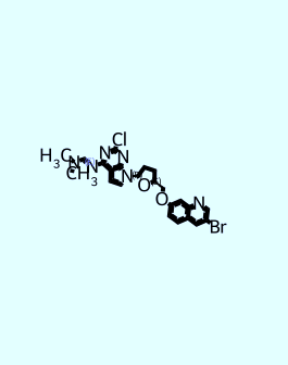 CN(C)/C=N/c1nc(Cl)nc2c1ccn2[C@H]1CC[C@@H](COc2ccc3cc(Br)cnc3c2)O1